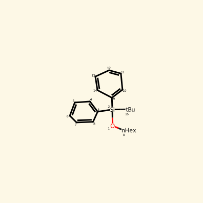 CCCCCCO[Si](c1ccccc1)(c1ccccc1)C(C)(C)C